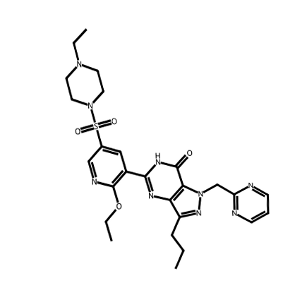 CCCc1nn(Cc2ncccn2)c2c(=O)[nH]c(-c3cc(S(=O)(=O)N4CCN(CC)CC4)cnc3OCC)nc12